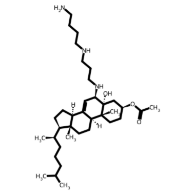 CC(=O)O[C@H]1CC[C@]2(C)[C@H]3CC[C@]4(C)[C@@H]([C@H](C)CCCC(C)C)CC[C@H]4C3=C[C@@H](NCCCNCCCCN)[C@@]2(O)C1